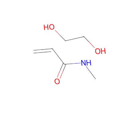 C=CC(=O)NC.OCCO